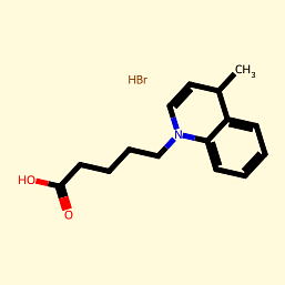 Br.CC1C=CN(CCCCC(=O)O)c2ccccc21